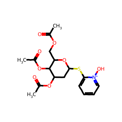 CC(=O)OCC1OC(Sc2cccc[n+]2O)CC(OC(C)=O)C1OC(C)=O